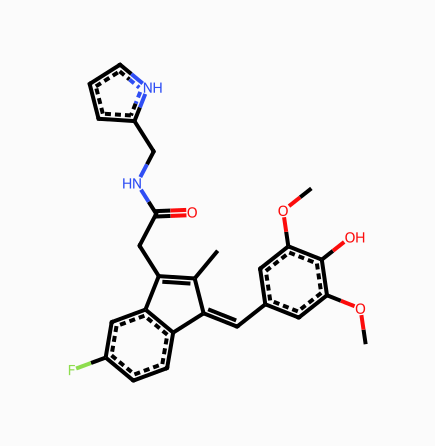 COc1cc(C=C2C(C)=C(CC(=O)NCc3ccc[nH]3)c3cc(F)ccc32)cc(OC)c1O